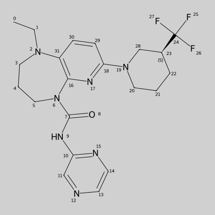 CCN1CCCN(C(=O)Nc2cnccn2)c2nc(N3CCC[C@H](C(F)(F)F)C3)ccc21